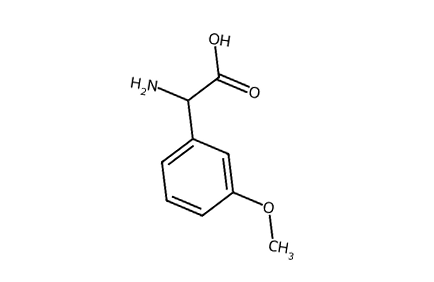 COc1cccc(C(N)C(=O)O)c1